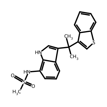 CC(C)(c1csc2ccccc12)c1c[nH]c2c(NS(C)(=O)=O)cccc12